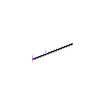 C=CCCCCCCCCCCCCCCCCCCC(I)CCCCCCCCCC(I)I